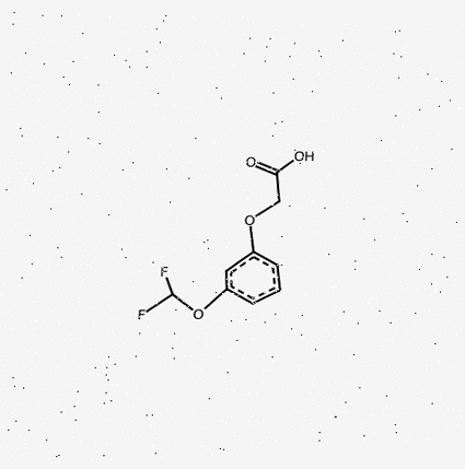 O=C(O)COc1[c]ccc(OC(F)F)c1